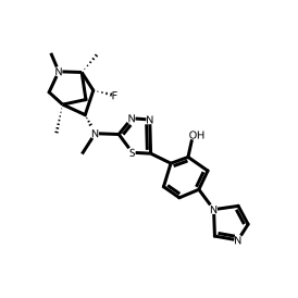 CN(c1nnc(-c2ccc(-n3ccnc3)cc2O)s1)[C@H]1[C@@H](F)[C@@]2(C)C[C@]1(C)CN2C